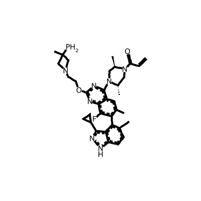 C=CC(=O)N1C[C@H](C)N(c2nc(OCCN3CC(C)(P)C3)nc3c(F)c(-c4c(C)ccc5[nH]nc(C6CC6)c45)c(C)cc23)C[C@H]1C